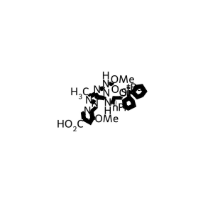 CCC[C@@H](CCO[Si](c1ccccc1)(c1ccccc1)C(C)(C)C)Nc1nc(NC(=O)OC)nc2c(C)nn(Cc3ncc(C(=O)O)cc3OC)c12